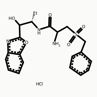 CC[C@H](NC(=O)C(N)CS(=O)(=O)Cc1ccccc1)C(O)c1nc2ccccc2o1.Cl